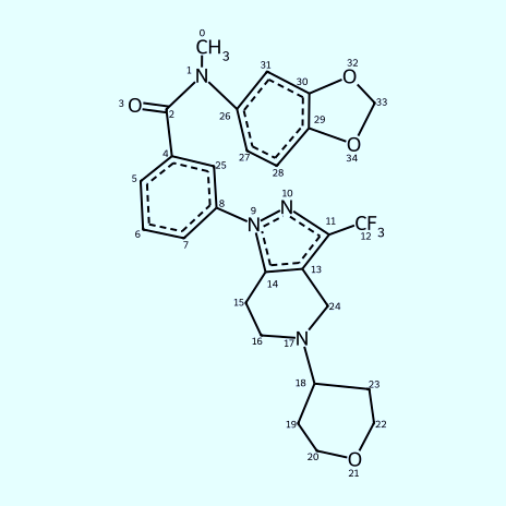 CN(C(=O)c1cccc(-n2nc(C(F)(F)F)c3c2CCN(C2CCOCC2)C3)c1)c1ccc2c(c1)OCO2